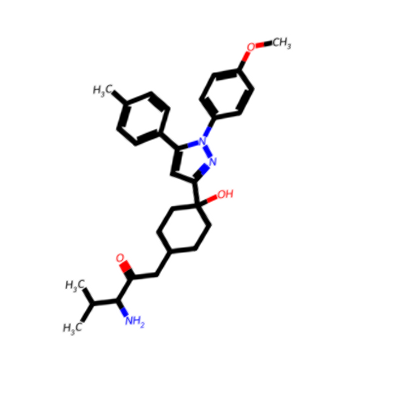 COc1ccc(-n2nc(C3(O)CCC(CC(=O)C(N)C(C)C)CC3)cc2-c2ccc(C)cc2)cc1